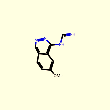 COc1ccc2cnnc(NC=N)c2c1